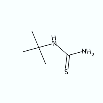 CC(C)(C)NC(N)=S